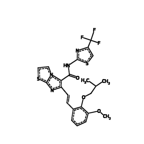 COc1cccc(/C=C/c2nc3sccn3c2C(=O)Nc2nc(C(F)(F)F)cs2)c1OCC(C)C